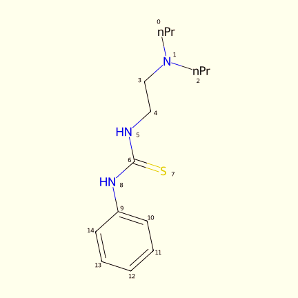 CCCN(CCC)CCNC(=S)Nc1ccccc1